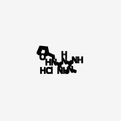 CN(C)C(=N)NC(=N)NCc1ccco1.Cl